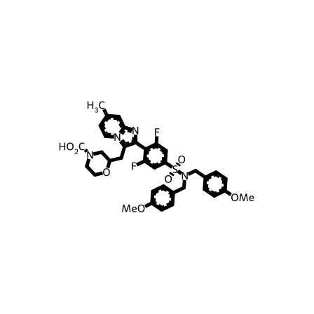 COc1ccc(CN(Cc2ccc(OC)cc2)S(=O)(=O)c2cc(F)c(-c3nc4cc(C)ccn4c3CC3CN(C(=O)O)CCO3)c(F)c2)cc1